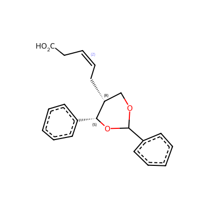 O=C(O)C/C=C\C[C@@H]1COC(c2ccccc2)O[C@@H]1c1ccccc1